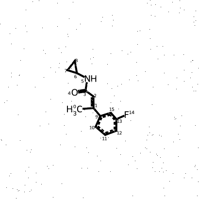 C/C(=C\C(=O)NC1CC1)c1cccc(F)c1